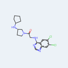 O=C(CNc1ncnc2cc(Cl)c(Cl)cc12)N1CC[C@@H](NC2CCCC2)C1